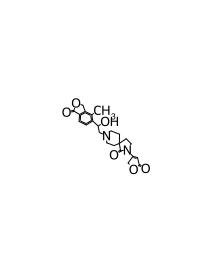 Cc1c(C(O)CN2CCC3(CC2)CCN(C2=CC(=O)OC2)C3=O)ccc2c1COC2=O